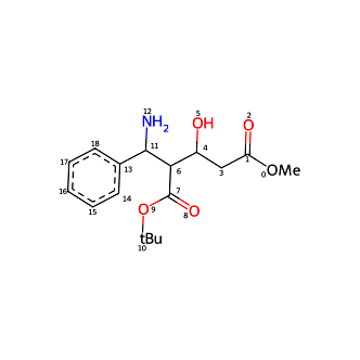 COC(=O)CC(O)C(C(=O)OC(C)(C)C)C(N)c1ccccc1